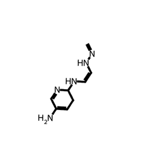 C=NN/C=C\NC1CC=C(N)C=N1